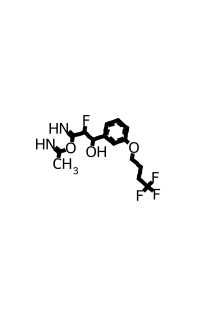 CC(=N)OC(=N)C(F)C(O)c1cccc(OCCCC(F)(F)F)c1